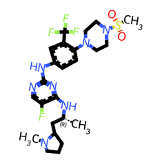 C[C@H](CC1CCCN1C)Nc1nc(Nc2ccc(N3CCN(S(C)(=O)=O)CC3)c(C(F)(F)F)c2)ncc1F